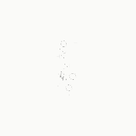 Cc1cccc(NC(=S)NCCNC(=O)CC2(c3ccccc3Oc3ccc(Cl)cc3Cl)N=NN=N2)c1